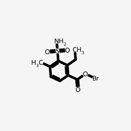 CCc1c(C(=O)OBr)ccc(C)c1S(N)(=O)=O